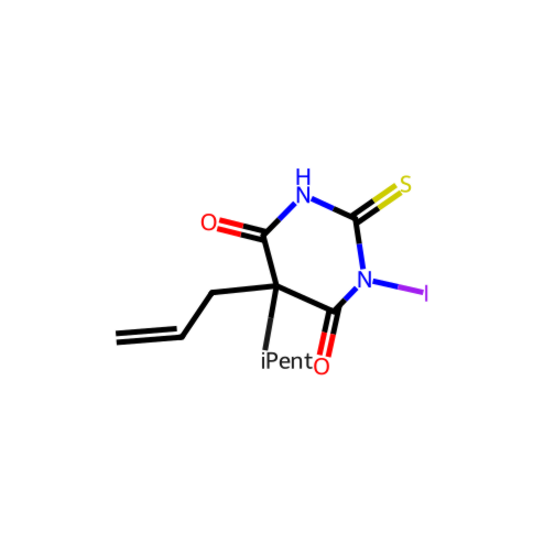 C=CCC1(C(C)CCC)C(=O)NC(=S)N(I)C1=O